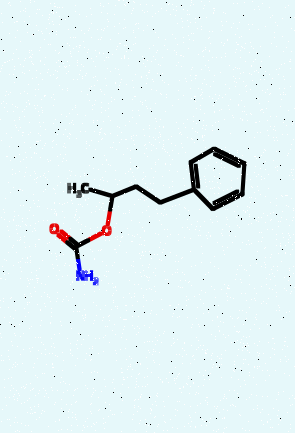 CC(CCc1ccccc1)OC(N)=O